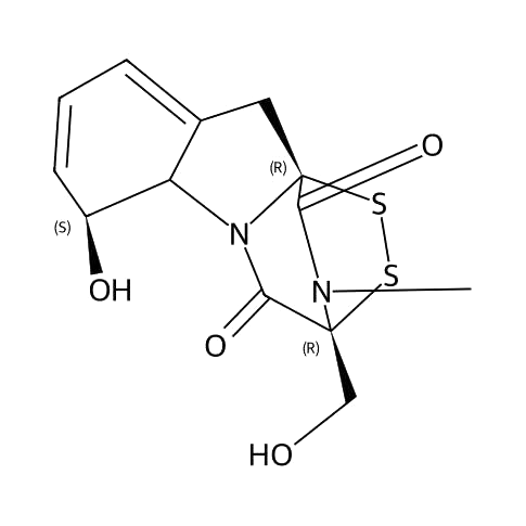 CN1C(=O)[C@]23CC4=CC=C[C@H](O)C4N2C(=O)[C@@]1(CO)SS3